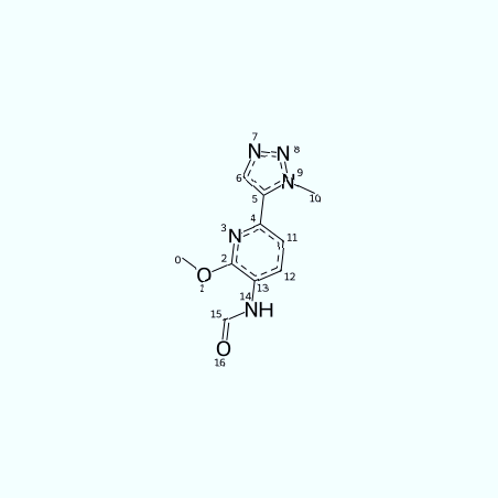 COc1nc(-c2cnnn2C)ccc1NC=O